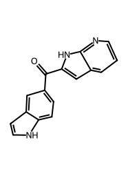 O=C(c1ccc2[nH]ccc2c1)c1cc2cccnc2[nH]1